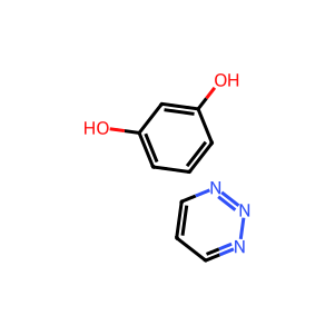 Oc1cccc(O)c1.c1cnnnc1